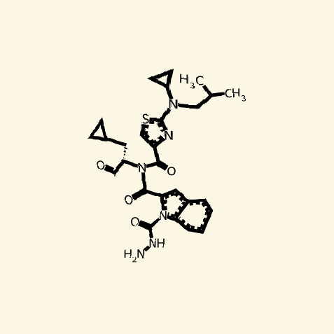 CC(C)CN(c1nc(C(=O)N(C(=O)c2cc3ccccc3n2C(=O)NN)[C@H]([C]=O)CC2CC2)cs1)C1CC1